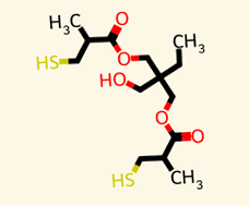 CCC(CO)(COC(=O)C(C)CS)COC(=O)C(C)CS